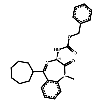 CN1C(=O)[C@H](NC(=O)OCc2ccccc2)N=C(C2CCCCCC2)c2ccccc21